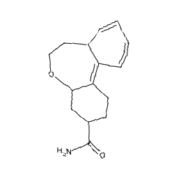 NC(=O)C1CCC2=C3C=CC=CC3CCOC2C1